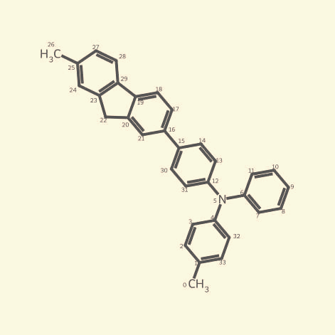 Cc1ccc(N(c2ccccc2)c2ccc(-c3ccc4c(c3)Cc3cc(C)ccc3-4)cc2)cc1